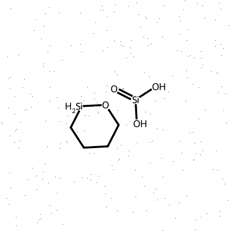 C1CC[SiH2]OC1.O=[Si](O)O